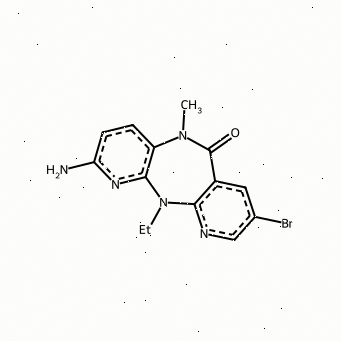 CCN1c2ncc(Br)cc2C(=O)N(C)c2ccc(N)nc21